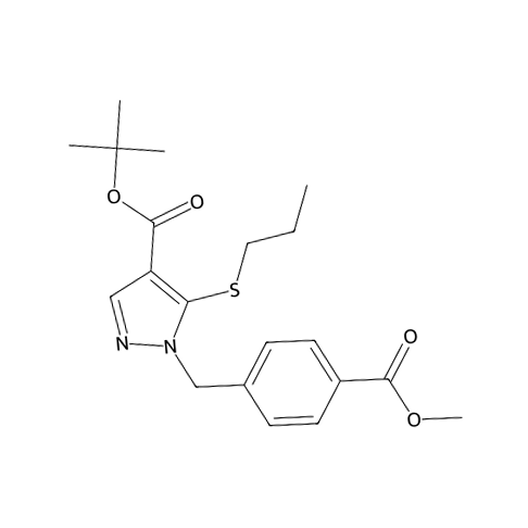 CCCSc1c(C(=O)OC(C)(C)C)cnn1Cc1ccc(C(=O)OC)cc1